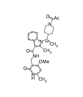 COc1cc(C)[nH]c(=O)c1CNC(=O)c1c(C)n([C@H](C)C2CCN(C(=O)C(C)=O)CC2)c2ccccc12